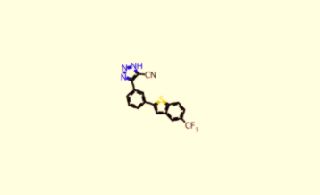 N#Cc1[nH]nnc1-c1cccc(-c2cc3cc(C(F)(F)F)ccc3s2)c1